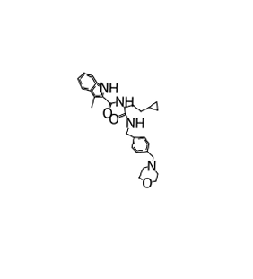 Cc1c(C(=O)NC(CCC2CC2)C(=O)NCc2ccc(CN3CCOCC3)cc2)[nH]c2ccccc12